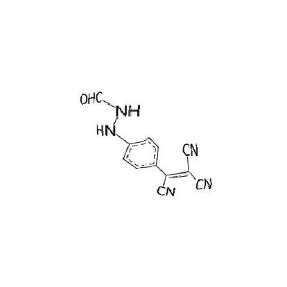 N#CC(C#N)=C(C#N)c1ccc(NNC=O)cc1